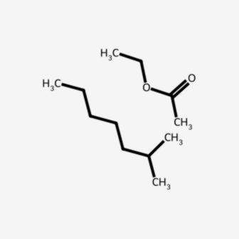 CCCCCC(C)C.CCOC(C)=O